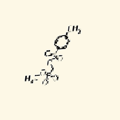 COP(=O)(O)COS(=O)(=O)c1ccc(C)cc1